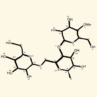 COC1C(CO)OC(OC2C(COC3OC(CO)C(O)C(O)C3O)O[C@H](C)C(O)C2O)C(O)C1O